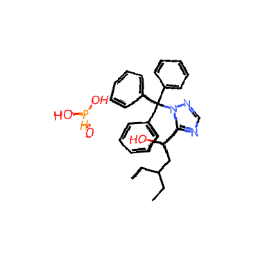 CCC(CC)CC(O)c1ncnn1C(c1ccccc1)(c1ccccc1)c1ccccc1.O=[PH](O)O